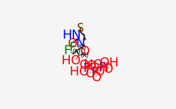 O=c1[nH]c(=S)ccn1[C@@H]1O[C@H](COP(=O)(O)OP(=O)(O)OP(=O)(O)O)C(O)[C@]1(F)CF